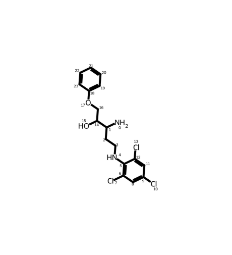 NC(CCNc1c(Cl)cc(Cl)cc1Cl)C(O)COc1ccccc1